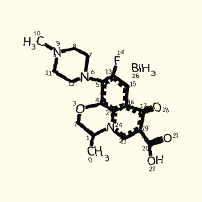 CC1COc2c(N3CCN(C)CC3)c(F)cc3c(=O)c(C(=O)O)cn1c23.[BiH3]